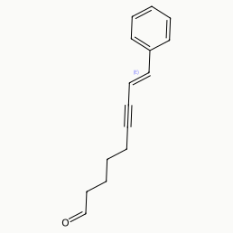 O=CCCCCC#C/C=C/c1ccccc1